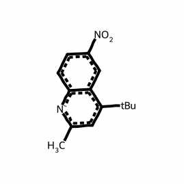 Cc1cc(C(C)(C)C)c2cc([N+](=O)[O-])ccc2n1